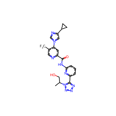 CC(CO)n1nnnc1-c1cccc(NC(=O)c2cc(-n3cnc(C4CC4)c3)c(C(F)(F)F)cn2)n1